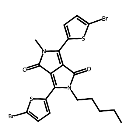 CCCCCN1C(=O)C2=C(c3ccc(Br)s3)N(C)C(=O)C2=C1c1ccc(Br)s1